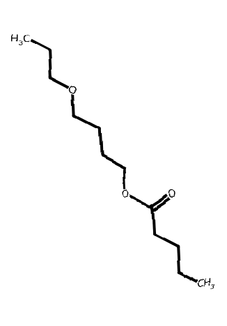 CCCCC(=O)OCCCCOCCC